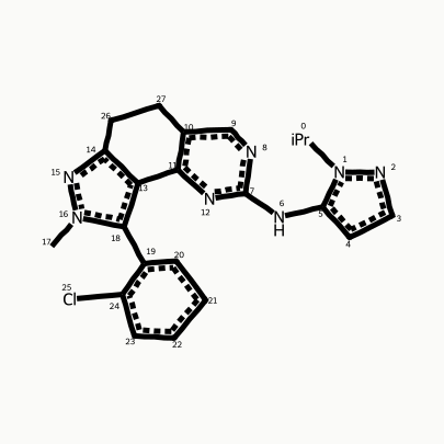 CC(C)n1nccc1Nc1ncc2c(n1)-c1c(nn(C)c1-c1ccccc1Cl)CC2